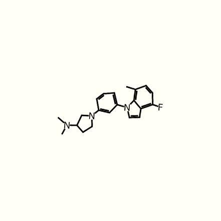 Cc1ccc(F)c2ccn(-c3cccc(N4CCC(N(C)C)C4)c3)c12